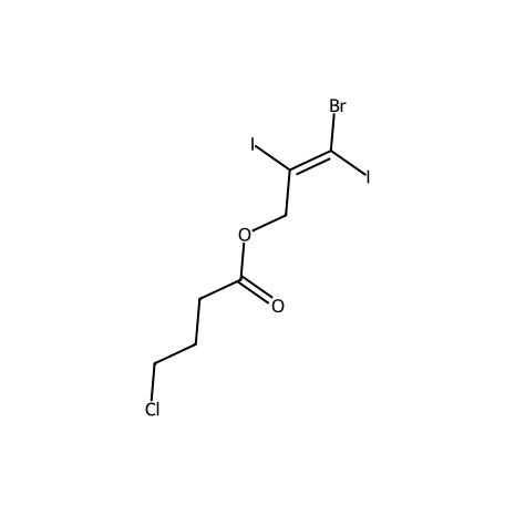 O=C(CCCCl)OCC(I)=C(Br)I